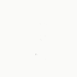 Cc1ccc(S(=O)(=O)n2cc(CC(NC(=O)O)C(C)(C)C)cc2Br)cn1